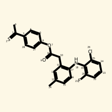 CC(=S)c1ccc(OC(=O)Cc2cc(C)ccc2Nc2c(F)cccc2Cl)cc1